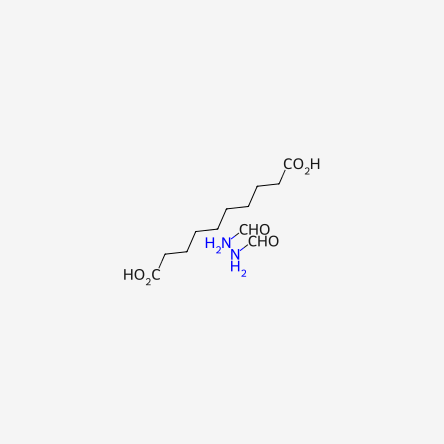 NC=O.NC=O.O=C(O)CCCCCCCCC(=O)O